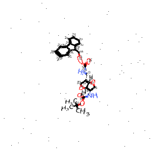 CC(C)(C)OC(=O)N[C@H]1CO[C@@H]2[C@@H](CNC(=O)OCC3c4ccccc4-c4ccccc43)CO[C@@H]21